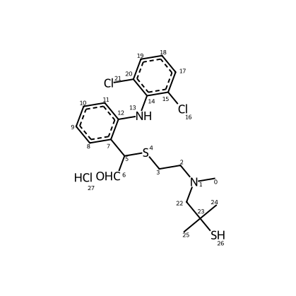 CN(CCSC(C=O)c1ccccc1Nc1c(Cl)cccc1Cl)CC(C)(C)S.Cl